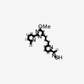 COc1cc(CCCc2cccc(/C(C)=N/O)n2)nc(-c2cccc(C)n2)n1